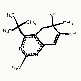 CC1=Cc2nc(N)nc(C(C)(C)C)c2CC1(C)C